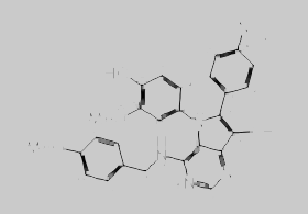 COc1ccc(CNc2ncnc3c(C)c(-c4ccc(N)cc4)n(-c4ccc(O)c(OC)c4)c23)cc1